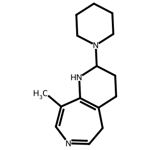 CC1=CN=CCC2=C1NC(N1CCCCC1)CC2